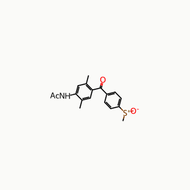 CC(=O)Nc1cc(C)c(C(=O)c2ccc([S+](C)[O-])cc2)cc1C